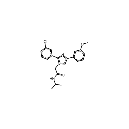 COc1cccc(-c2cn(CC(=O)NC(C)C)c(-c3cccc(Cl)c3)n2)c1